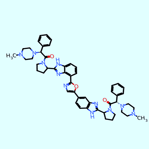 CN1CCN([C@H](C(=O)N2CCCC2c2nc3cc(-c4cnc(-c5cccc6[nH]c(C7CCCN7C(=O)[C@H](c7ccccc7)N7CCN(C)CC7)nc56)o4)ccc3[nH]2)c2ccccc2)CC1